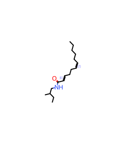 CCCCC/C=C\CC/C=C/C(=O)NCC(C)CC